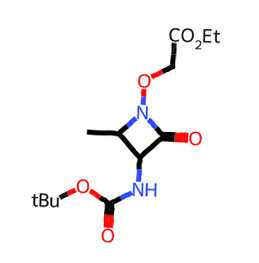 CCOC(=O)CON1C(=O)C(NC(=O)OC(C)(C)C)C1C